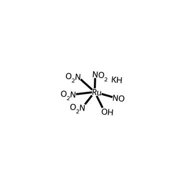 O=[N][Ru]([OH])([N+](=O)[O-])([N+](=O)[O-])([N+](=O)[O-])[N+](=O)[O-].[KH]